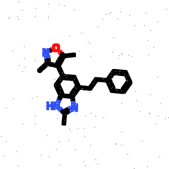 Cc1nc2c(CCc3ccccc3)cc(-c3c(C)noc3C)cc2[nH]1